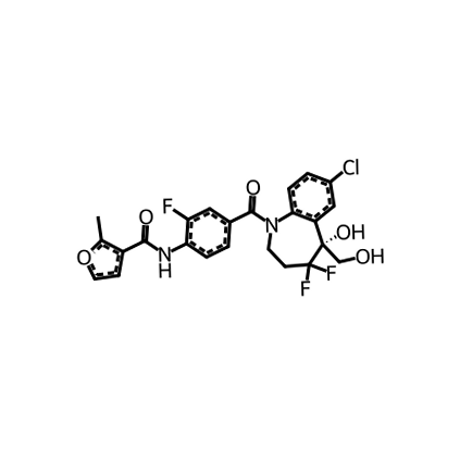 Cc1occc1C(=O)Nc1ccc(C(=O)N2CCC(F)(F)[C@](O)(CO)c3cc(Cl)ccc32)cc1F